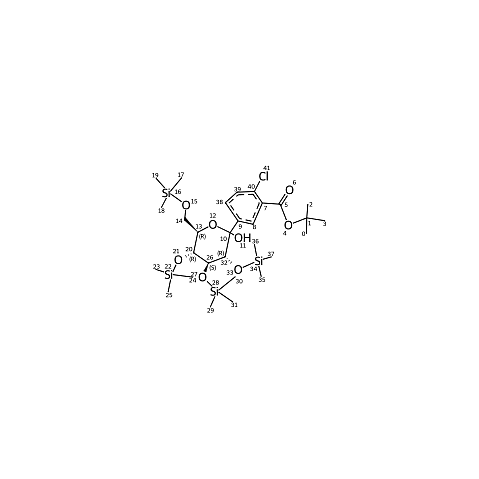 CC(C)(C)OC(=O)c1cc(C2(O)O[C@H](CO[Si](C)(C)C)[C@@H](O[Si](C)(C)C)[C@H](O[Si](C)(C)C)[C@H]2O[Si](C)(C)C)ccc1Cl